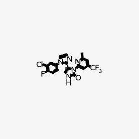 Cc1cc(C(F)(F)F)cc(N2C(=O)NC[C@H]2c2nccn2-c2ccc(F)c(Cl)c2)n1